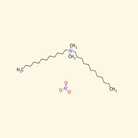 CCCCCCCCCCCC[N+](C)(C)CCCCCCCCCCCC.O=[N+]([O-])[O-]